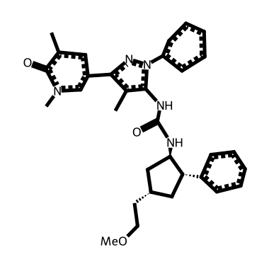 COCC[C@@H]1C[C@@H](NC(=O)Nc2c(C)c(-c3cc(C)c(=O)n(C)c3)nn2-c2ccccc2)[C@H](c2ccccc2)C1